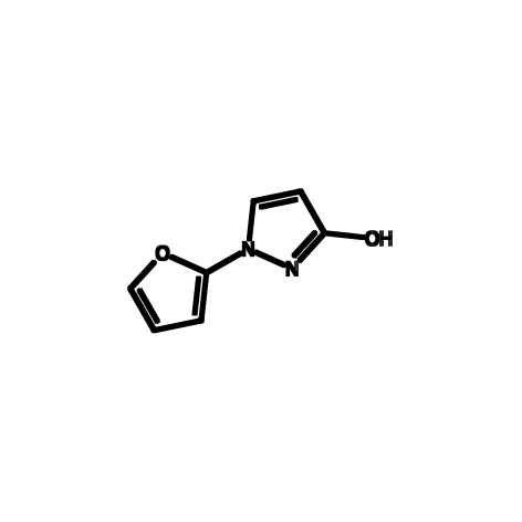 Oc1ccn(-c2ccco2)n1